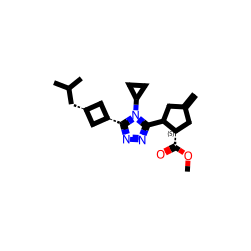 C=C1CC(c2nnc([C@H]3C[C@@H](CC(C)C)C3)n2C2CC2)[C@@H](C(=O)OC)C1